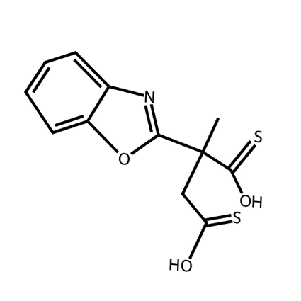 CC(CC(O)=S)(C(O)=S)c1nc2ccccc2o1